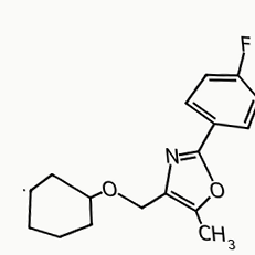 Cc1oc(-c2ccc(F)cc2)nc1COC1C[CH]CCC1